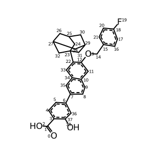 O=C(O)c1ccc(-c2ccc3cc(OCc4ccc(F)cc4)c(C45CC6CC(CC(C6)C4)C5)cc3c2)cc1O